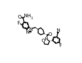 N#Cc1cc(F)cc([C@@H]2CCON2C(=O)[C@H]2CC[C@H](Cn3cnc4cc(F)c(C(N)=O)cc43)CC2)c1